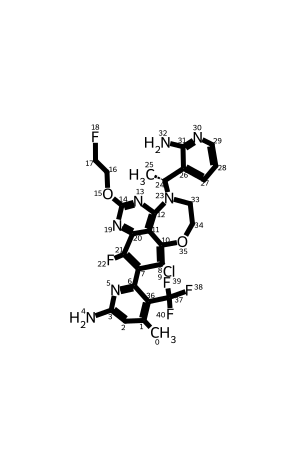 Cc1cc(N)nc(-c2c(Cl)c3c4c(nc(OCCF)nc4c2F)N([C@H](C)c2cccnc2N)CCO3)c1C(F)(F)F